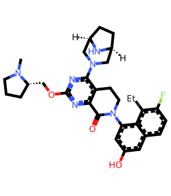 CCc1c(F)ccc2cc(O)cc(N3CCc4c(nc(OC[C@@H]5CCCN5C)nc4N4C[C@H]5CC[C@@H](C4)N5)C3=O)c12